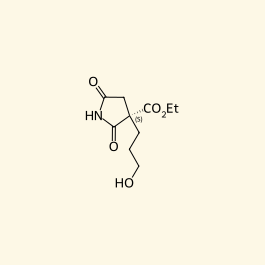 CCOC(=O)[C@@]1(CCCO)CC(=O)NC1=O